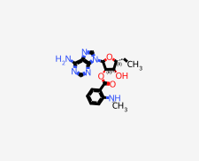 CC[C@H]1OC(n2cnc3c(N)ncnc32)[C@H](OC(=O)c2ccccc2NC)[C@@H]1O